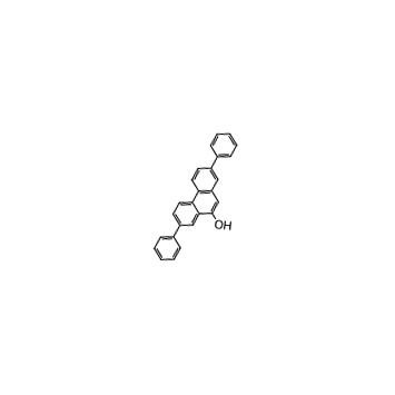 Oc1cc2cc(-c3ccccc3)ccc2c2ccc(-c3ccccc3)cc12